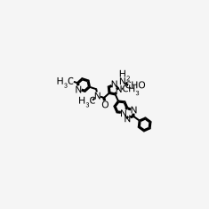 Cc1ccc(CN(C)C(=O)c2cnn(C)c2-c2ccn3nc(-c4ccccc4)nc3c2)cn1.NC=O